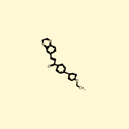 CCOc1ccc(-c2ccc(C(=O)/C=C/c3ccc4nccnc4c3)cc2)cc1